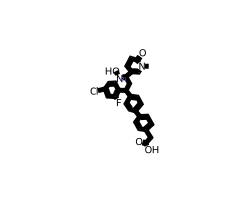 Cn1cc(/C(CC(c2ccc(-c3ccc(CC(=O)O)cc3)cc2)c2ccc(Cl)cc2F)=N\O)ccc1=O